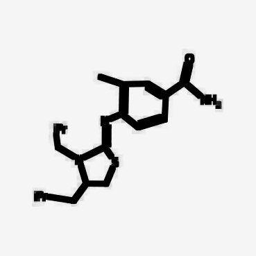 Cc1cc(C(N)=O)ccc1N=C1SCC(CC(C)C)N1CC(C)C